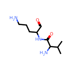 CC(C)C(N)C(=O)NC(C=O)CCCN